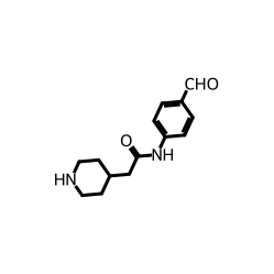 O=Cc1ccc(NC(=O)CC2CCNCC2)cc1